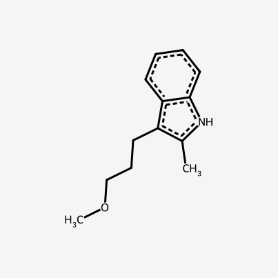 COCCCc1c(C)[nH]c2ccccc12